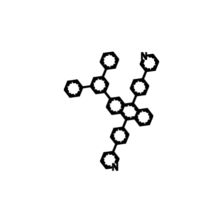 c1ccc(-c2cc(-c3ccccc3)cc(-c3ccc4c(-c5ccc(-c6cccnc6)cc5)c5ccccc5c(-c5ccc(-c6cccnc6)cc5)c4c3)c2)cc1